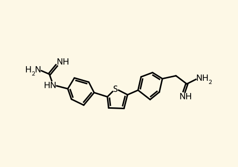 N=C(N)Cc1ccc(-c2ccc(-c3ccc(NC(=N)N)cc3)s2)cc1